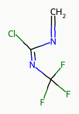 C=N/C(Cl)=N\C(F)(F)F